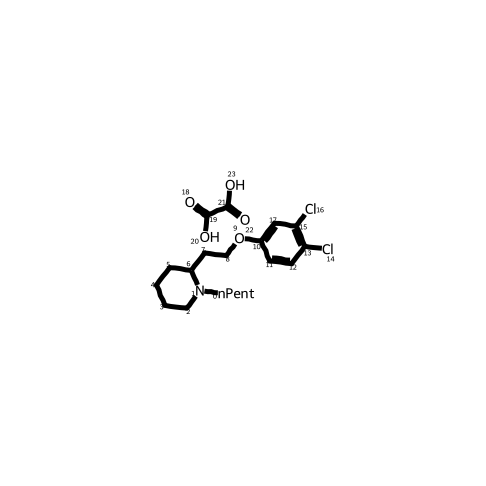 CCCCCN1CCCCC1CCOc1ccc(Cl)c(Cl)c1.O=C(O)C(=O)O